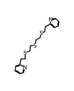 c1ccc(CCSCCSCCSCCc2ccccn2)nc1